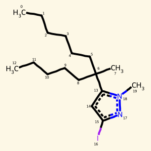 CCCCCCC(C)(CCCCC)c1cc(I)nn1C